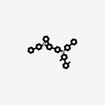 Cc1ccccc1-c1ccc(N(c2ccc(-c3ccccc3)cc2)c2ccc(-c3ccc4c(c3)c3ccccc3n4-c3ccc(-c4ccccc4)cc3)cc2)cc1C